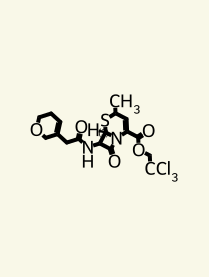 CC1C=C(C(=O)OCC(Cl)(Cl)Cl)N2C(=O)C(NC(=O)CC3=CCCOC3)[C@@H]2S1